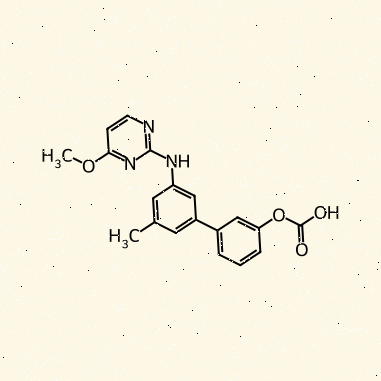 COc1ccnc(Nc2cc(C)cc(-c3cccc(OC(=O)O)c3)c2)n1